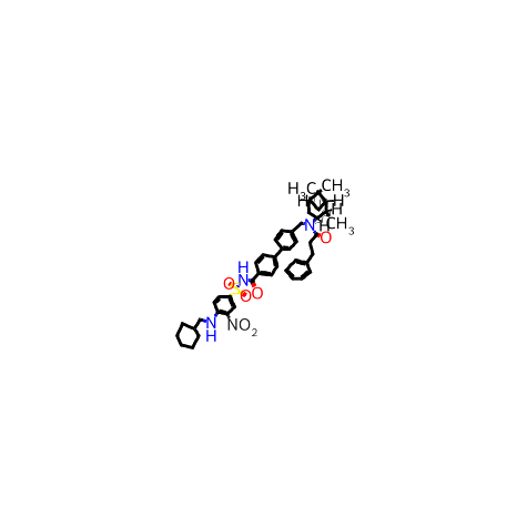 C[C@@H]1[C@@H](N(Cc2ccc(-c3ccc(C(=O)NS(=O)(=O)c4ccc(NCC5CCCCC5)c([N+](=O)[O-])c4)cc3)cc2)C(=O)CCc2ccccc2)C[C@@H]2C[C@@H]1C2(C)C